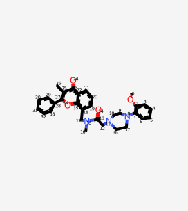 COc1ccccc1N1CCN(CC(=O)N(C)Cc2cccc3c(=O)c(C)c(-c4ccccc4)oc23)CC1